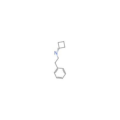 c1ccc(CCN=C2CCC2)cc1